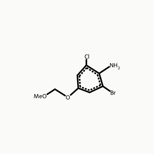 COCOc1cc(Cl)c(N)c(Br)c1